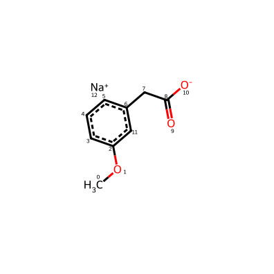 COc1cccc(CC(=O)[O-])c1.[Na+]